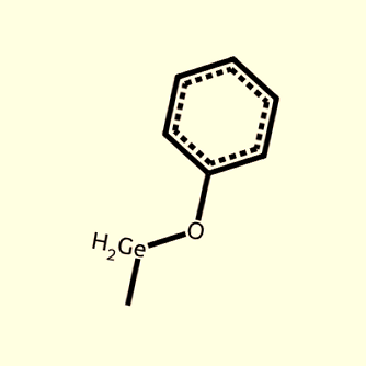 [CH3][GeH2][O]c1ccccc1